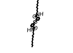 CCCCCCCCCCCCNC(=O)c1cccc(SSc2cccc(C(=O)NCCCCCCCCCCCC)c2)c1